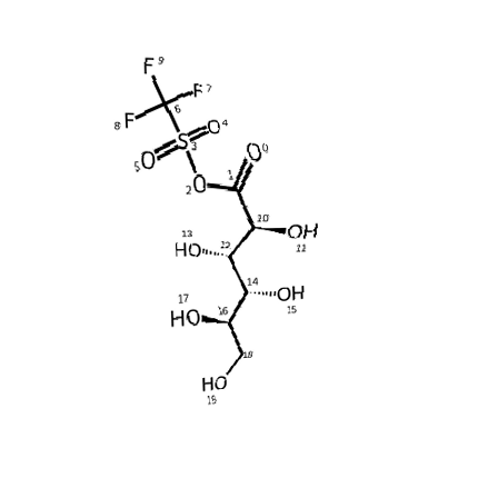 O=C(OS(=O)(=O)C(F)(F)F)[C@@H](O)[C@@H](O)[C@H](O)[C@H](O)CO